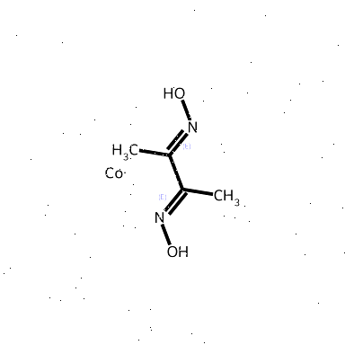 CC(=N\O)/C(C)=N/O.[Co]